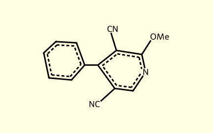 COc1ncc(C#N)c(-c2ccccc2)c1C#N